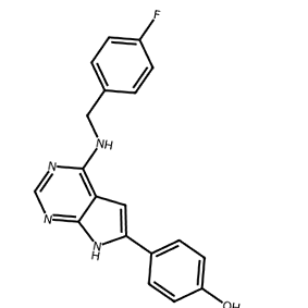 Oc1ccc(-c2cc3c(NCc4ccc(F)cc4)ncnc3[nH]2)cc1